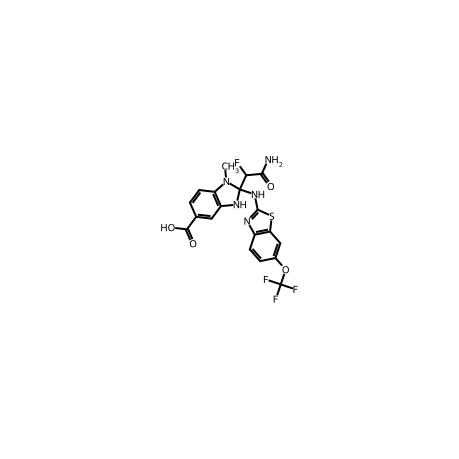 CN1c2ccc(C(=O)O)cc2NC1(Nc1nc2ccc(OC(F)(F)F)cc2s1)C(F)C(N)=O